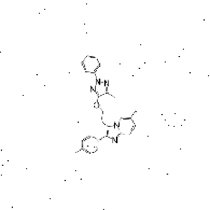 Cc1ccc(-c2nc3ccc(C)cn3c2CCOc2nn(-c3ccccc3)nc2C)cc1